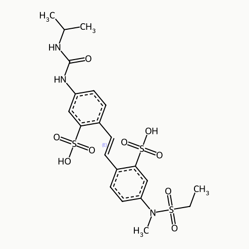 CCS(=O)(=O)N(C)c1ccc(/C=C/c2ccc(NC(=O)NC(C)C)cc2S(=O)(=O)O)c(S(=O)(=O)O)c1